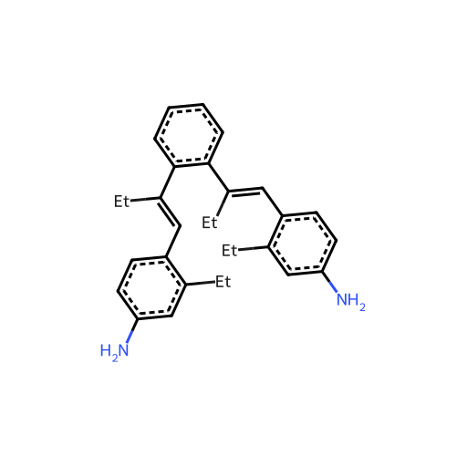 CCC(=Cc1ccc(N)cc1CC)c1ccccc1C(=Cc1ccc(N)cc1CC)CC